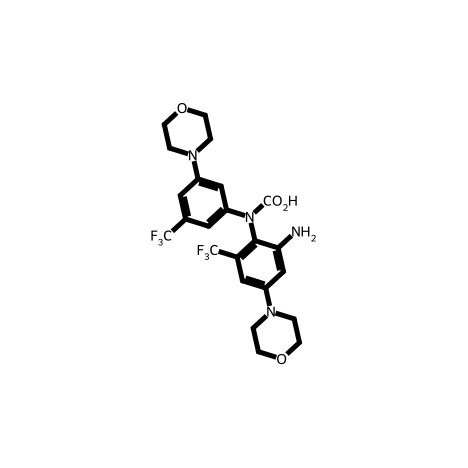 Nc1cc(N2CCOCC2)cc(C(F)(F)F)c1N(C(=O)O)c1cc(N2CCOCC2)cc(C(F)(F)F)c1